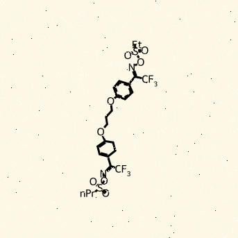 CCCS(=O)(=O)O/N=C(/C1=CC=C(OCCCOc2ccc(/C(=N/OS(=O)(=O)CC)C(F)(F)F)cc2)CC1)C(F)(F)F